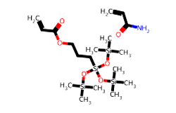 C=CC(=O)OCCC[Si](O[Si](C)(C)C)(O[Si](C)(C)C)O[Si](C)(C)C.C=CC(N)=O